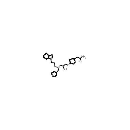 NC(=O)Cc1ccc(OCC(O)CN(CCCn2cnc3ccccc32)Cc2ccccc2)cc1